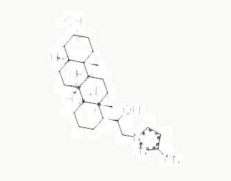 C[C@]12CC[C@@H](O)C[C@@H]1CC[C@@H]1[C@@H]2CC[C@]2(C)[C@@H](C(O)Cn3ccc(C#N)n3)CCC[C@@H]12